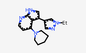 CCn1cc(-c2c[nH]c3nccc(N4CCCCC4)c23)cn1